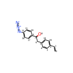 C=Cc1ccc(CC(=O)c2ccc(N=[N+]=[N-])cc2)cc1